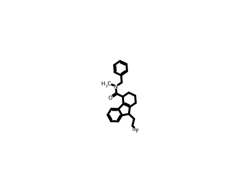 CN(Cc1ccccc1)C(=O)C1CCCC2=C1c1ccccc1C2CC[18F]